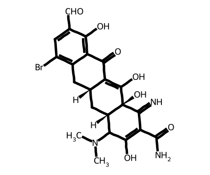 CN(C)C1C(O)=C(C(N)=O)C(=N)[C@@]2(O)C(O)=C3C(=O)c4c(O)c(C=O)cc(Br)c4C[C@H]3C[C@@H]12